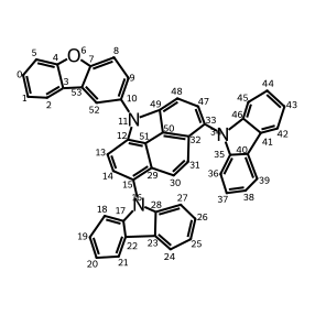 c1ccc2c(c1)oc1ccc(-n3c4ccc(-n5c6ccccc6c6ccccc65)c5ccc6c(-n7c8ccccc8c8ccccc87)ccc3c6c54)cc12